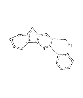 [2H]Cc1cc2oc3ccccc3c2nc1-c1ccccn1